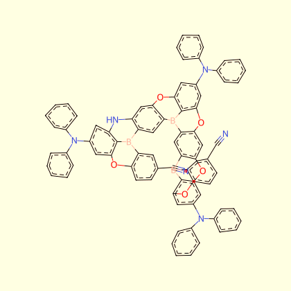 N#Cc1ccc2c(c1)B1c3cc4c(cc3Nc3cc(N(c5ccccc5)c5ccccc5)cc(c31)O2)Oc1cc(N(c2ccccc2)c2ccccc2)cc2c1B4c1cc3c(cc1O2)Oc1cc(N(c2ccccc2)c2ccccc2)cc2c1B3c1cc(C#N)ccc1O2